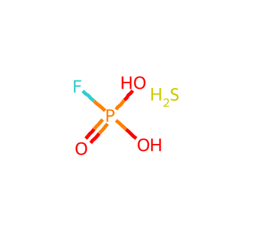 O=P(O)(O)F.S